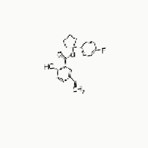 C=Cc1ccc(O)c(C(=O)OC2(c3ccc(F)cc3)CCCC2)c1